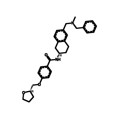 CN(Cc1ccccc1)Cc1ccc2c(c1)CC[C@H](NC(=O)c1ccc(OC[C@@H]3CCCO3)cc1)C2